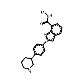 CCNC(=O)c1cccc2cn(-c3ccc([C@@H]4CCCNC4)cc3)nc12